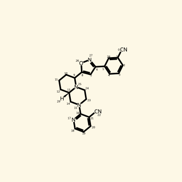 N#Cc1cccc(-c2cc(C3CCC[C@H]4CN(c5ncccc5C#N)CCN34)on2)c1